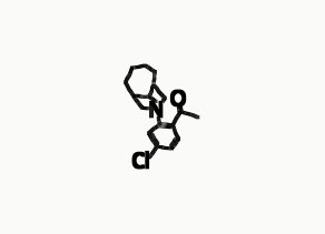 CC(=O)c1ccc(Cl)cc1N1CC2CCCCC(C1)C2C